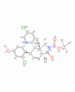 COc1ccc([C@@H]2C=C[C@@H]3C(=O)N(C(=O)OC(C)(C)C)[C@@H](C)[C@H]3[C@H]2c2ccc(Cl)cn2)c(Cl)c1